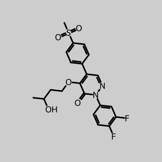 CC(O)CCOc1c(-c2ccc(S(C)(=O)=O)cc2)cnn(-c2ccc(F)c(F)c2)c1=O